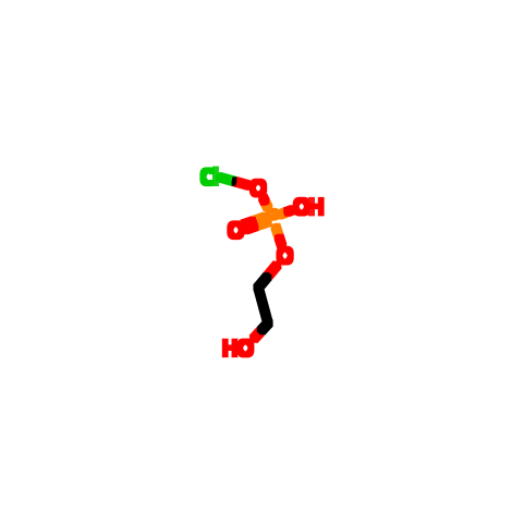 O=P(O)(OCl)OCCO